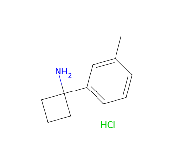 Cc1cccc(C2(N)CCC2)c1.Cl